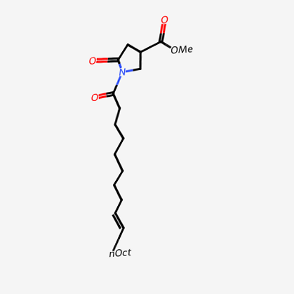 CCCCCCCCC=CCCCCCCCC(=O)N1CC(C(=O)OC)CC1=O